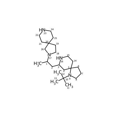 CC(CC1CC2(CCCN2C(C)(C)C)CCN1)N1CCC2(CCNCC2)C1